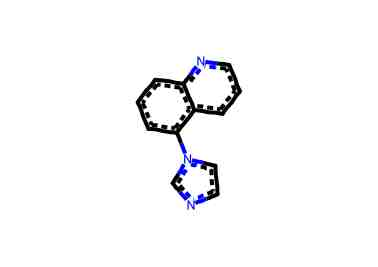 c1cc(-n2ccnc2)c2cccnc2c1